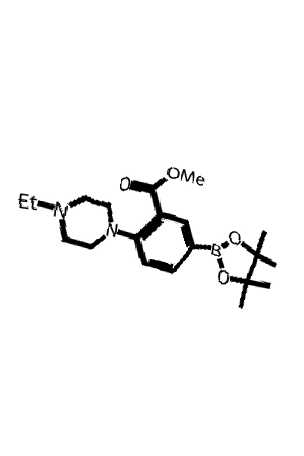 CCN1CCN(c2ccc(B3OC(C)(C)C(C)(C)O3)cc2C(=O)OC)CC1